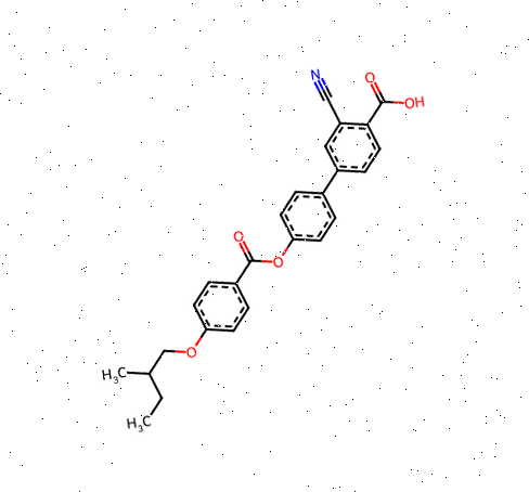 CCC(C)COc1ccc(C(=O)Oc2ccc(-c3ccc(C(=O)O)c(C#N)c3)cc2)cc1